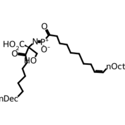 CCCCCCCC/C=C\CCCCCCCC(=O)/[P+]([O-])=N/[C@@](CO)(C(=O)O)C(=O)CCCCCCCCCCCCCCC